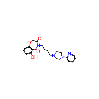 O=C1COc2cccc(O)c2C(=O)N1CCCCN1CCN(c2ccccn2)CC1